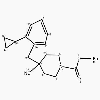 CC(C)(C)OC(=O)N1CCC(C#N)(Cc2ccccc2C2CC2)CC1